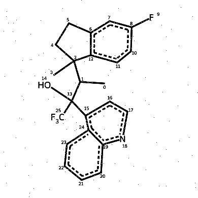 CC(C1(C)CCc2cc(F)ccc21)C(O)(c1ccnc2ccccc12)C(F)(F)F